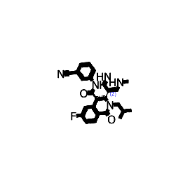 CN/C=C(\C=N)[C@H]1[C@H](C(=O)Nc2cccc(C#N)c2)c2cc(F)ccc2C(=O)N1CC(C)C